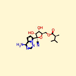 CC(C)[C@H](C)C(=O)OC[C@H]1O[C@@](C#N)(c2ccc3c(N)ncnn23)[C@H](O)[C@@H]1O